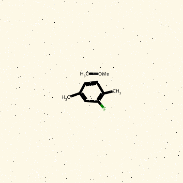 COC.Cc1ccc(C)c(F)c1